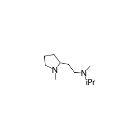 CC(C)N(C)CCC1CCCN1C